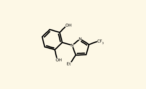 CCc1cc(C(F)(F)F)nn1-c1c(O)cccc1O